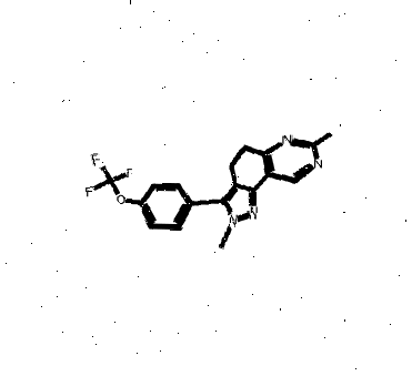 Cc1ncc2c(n1)CCc1c-2nn(C)c1-c1ccc(OC(F)(F)F)cc1